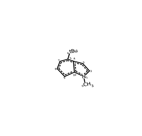 Cn1ccc2c(C(C)(C)C)cccc21